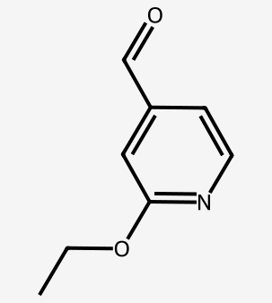 CCOc1cc(C=O)ccn1